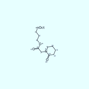 CCCCCCCCCCCOC(=O)CN1CCCCC1=O